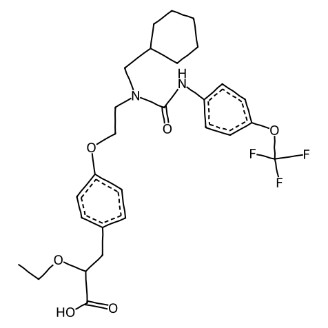 CCOC(Cc1ccc(OCCN(CC2CCCCC2)C(=O)Nc2ccc(OC(F)(F)F)cc2)cc1)C(=O)O